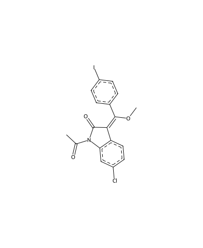 CO/C(=C1/C(=O)N(C(C)=O)c2cc(Cl)ccc21)c1ccc(I)cc1